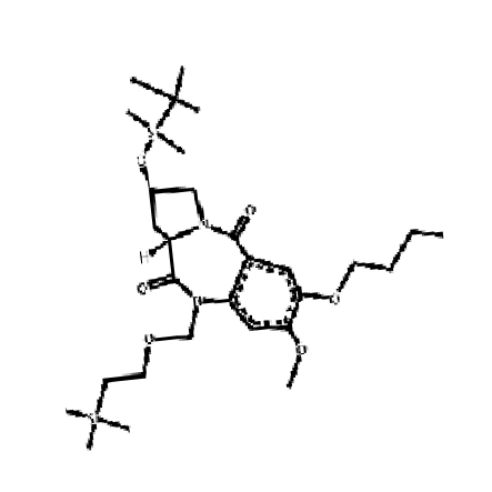 CCCCOc1cc2c(cc1OC)N(COCC[Si](C)(C)C)C(=O)[C@@H]1C[C@@H](O[Si](C)(C)C(C)(C)C)CN1C2=O